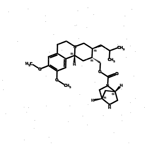 COc1cc2c(cc1OC)[C@H]1C[C@@H](COC(=O)N3C[C@@H]4C[C@H]3CN4)[C@H](CC(C)C)CN1CC2